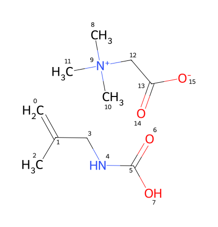 C=C(C)CNC(=O)O.C[N+](C)(C)CC(=O)[O-]